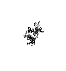 C=CC(=O)OCC(COC(=O)C=C)(COC(=O)C=C)COC(=O)NCC1(C)CC(NC(=O)Nc2nnc(S)s2)CC(C)(C)C1